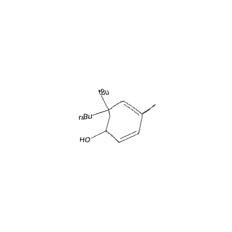 CCCCC1(C(C)(C)C)C=C(C)C=CC1O